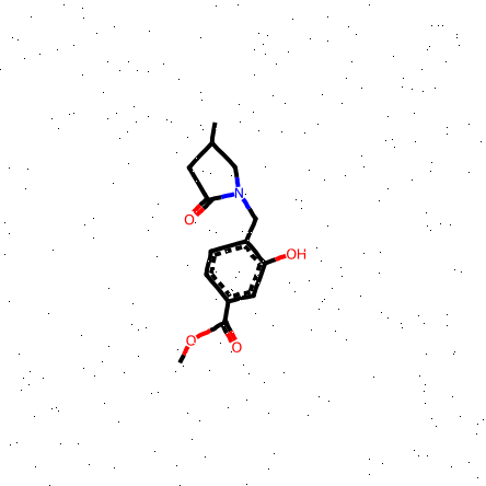 COC(=O)c1ccc(CN2CC(C)CC2=O)c(O)c1